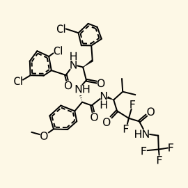 COc1ccc([C@H](NC(=O)[C@H](Cc2cccc(Cl)c2)NC(=O)c2cc(Cl)ccc2Cl)C(=O)N[C@H](C(=O)C(F)(F)C(=O)NCC(F)(F)F)C(C)C)cc1